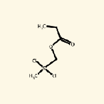 CCC(=O)OCS(C)(Cl)Cl